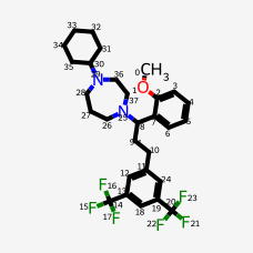 COc1ccccc1C([CH]Cc1cc(C(F)(F)F)cc(C(F)(F)F)c1)N1CCCN(C2CCCCC2)CC1